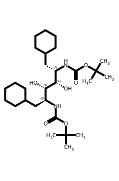 CC(C)(C)OC(=O)N[C@@H](CC1CCCCC1)[C@H](O)[C@@H](O)[C@H](CC1CCCCC1)NC(=O)OC(C)(C)C